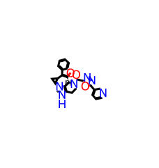 O=C(c1nnc(-c2cccnc2)o1)N1CCc2[nH]cnc2[C@@H]1c1oc2ccccc2c1C1CC1